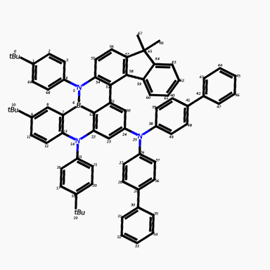 CC(C)(C)c1ccc(N2B3c4cc(C(C)(C)C)ccc4N(c4ccc(C(C)(C)C)cc4)c4cc(N(c5ccc(-c6ccccc6)cc5)c5ccc(-c6ccccc6)cc5)cc(c43)-c3c2ccc2c3-c3ccccc3C2(C)C)cc1